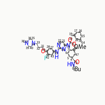 CCC(C)NC(=O)c1ccc(N(C(=O)Oc2c(C)cccc2C)c2ccnc(Nc3ccc(OCCCN4CCN(C)CC4)c(F)c3)n2)c(OC)c1